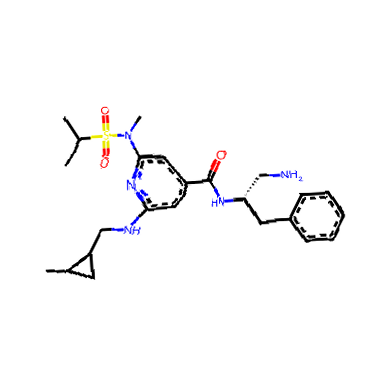 CC1CC1CNc1cc(C(=O)N[C@H](CN)Cc2ccccc2)cc(N(C)S(=O)(=O)C(C)C)n1